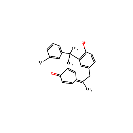 CC(Cc1ccc(O)c(C(C)(C)c2cccc(C)c2)c1)=C1C=CC(=O)C=C1